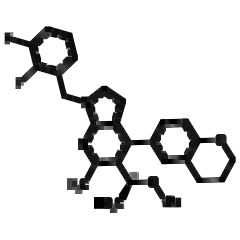 Cc1nc2c(ccn2Cc2cccc(F)c2F)c(-c2ccc3c(c2)CCCO3)c1[C@@H](OC(C)(C)C)C(=O)O